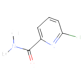 CCN(C)C(=O)c1cc[c]c(Cl)n1